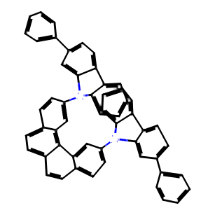 c1ccc(-c2ccc3c4ccccc4n(-c4ccc5ccc6ccc7ccc(-n8c9ccccc9c9ccc(-c%10ccccc%10)cc98)cc7c6c5c4)c3c2)cc1